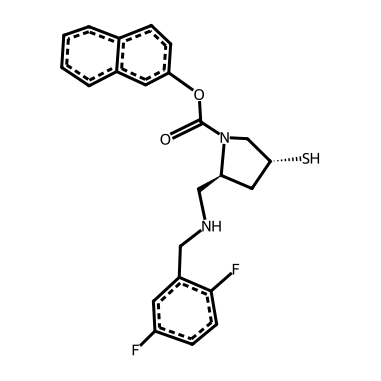 O=C(Oc1ccc2ccccc2c1)N1C[C@H](S)C[C@H]1CNCc1cc(F)ccc1F